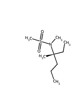 CCC[C@@](C)(CC)N(C)S(C)(=O)=O